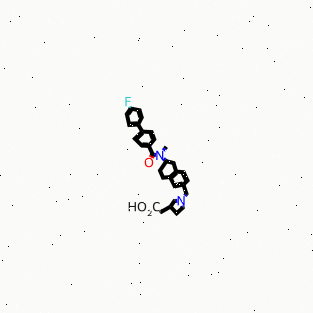 CN(C(=O)c1ccc(-c2ccc(F)cc2)cc1)C1CCc2cc(CN3CCC(CC(=O)O)C3)ccc2C1